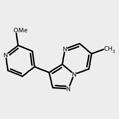 COc1cc(-c2cnn3cc(C)cnc23)ccn1